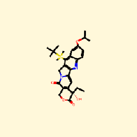 CC[C@@]1(O)C(=O)OCc2c1cc1n(c2=O)Cc2c-1nc1ccc(OC(C)C)cc1c2S(C)(C)C(C)(C)C